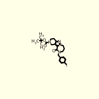 CC(C)(C)OC(=O)N1CCc2nn3c(c2C1)C(=O)N(Cc1ccc(I)cc1)CCC3